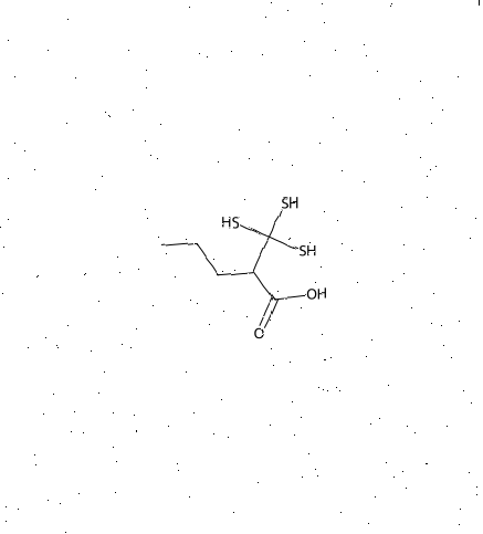 CCCC(C(=O)O)C(S)(S)S